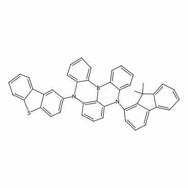 CC1(C)c2ccccc2-c2cccc(N3c4ccccc4B4c5ccccc5N(c5ccc6sc7ccccc7c6c5)c5cccc3c54)c21